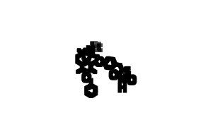 CCN(CCOc1ccc(CC2SC(=O)NC2=O)cc1)CC1(C)CCc2c(C)c(OCc3ccccc3)c(C)c(C)c2O1